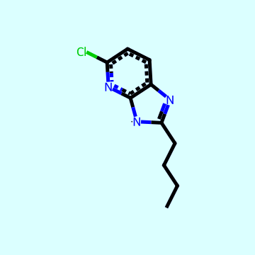 CCCCC1=Nc2ccc(Cl)nc2[N]1